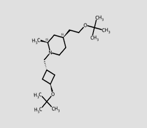 C[C@H]1C[C@@H](CCOC(C)(C)C)CCN1C[C@H]1C[C@H](OC(C)(C)C)C1